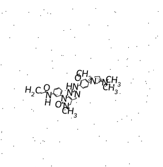 C=CC(=O)Nc1cccc(N2C(=O)N(C)Cc3cnc(Nc4ccc(N5CC[C@@H](N(C)C)C5)cc4OC)nc32)c1